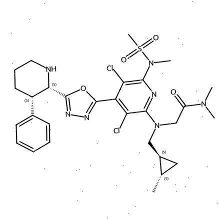 C[C@H]1C[C@@H]1CN(CC(=O)N(C)C)c1nc(N(C)S(C)(=O)=O)c(Cl)c(-c2nnc([C@H]3NCCC[C@H]3c3ccccc3)o2)c1Cl